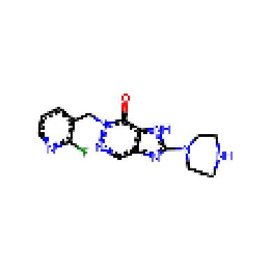 O=c1c2[nH]c(N3CCNCC3)nc2cnn1Cc1cccnc1F